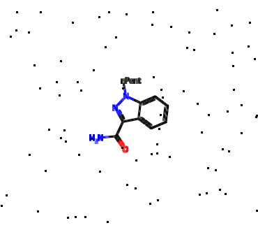 CCCCCn1nc(C(N)=O)c2ccccc21